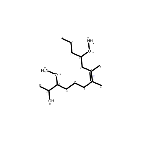 CCCC(C/C(C)=C(/C)CCCC(ON)C(C)O)ON